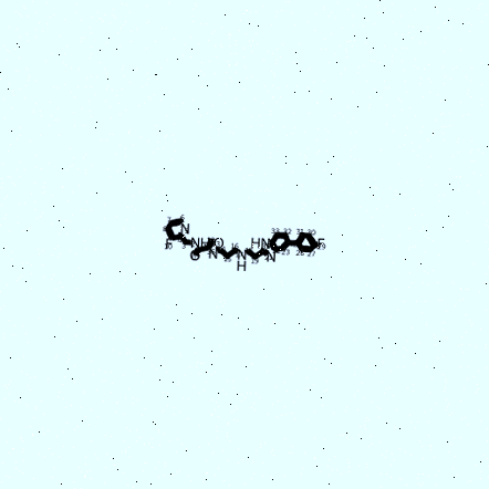 O=C(NCc1ncccc1F)c1coc(CCNCCc2nc3cc(-c4ccc(F)cc4)ccc3[nH]2)n1